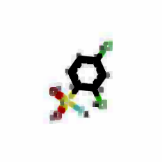 O=S(=O)(F)c1ccc(Cl)cc1Cl